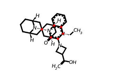 C=C(O)C1CN(c2nc3ccccc3n([C@H]3C[C@H]4CCC[C@@H](C3)N4[C@H]3C[C@@H]4C[C@@H](CC)C[C@@H](C4)C3)c2=O)C1